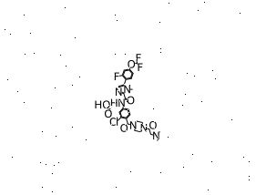 CN(C)CC(=O)N1CCN(C(=O)c2ccc(NC(=O)c3ncc(-c4ccc(OC(F)F)cc4F)n3C)cc2Cl)CC1.O=CO